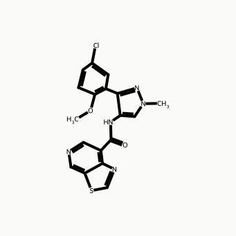 COc1ccc(Cl)cc1-c1nn(C)cc1NC(=O)c1cncc2scnc12